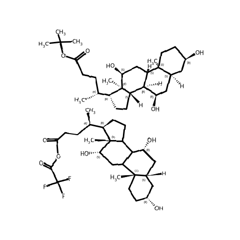 C[C@H](CCC(=O)OC(=O)C(F)(F)F)[C@H]1CCC2C3C(C[C@H](O)[C@@]21C)[C@@]1(C)CC[C@@H](O)C[C@H]1C[C@H]3O.C[C@H](CCC(=O)OC(C)(C)C)[C@H]1CC[C@H]2[C@@H]3[C@H](O)C[C@@H]4C[C@H](O)CC[C@]4(C)[C@H]3C[C@H](O)[C@]12C